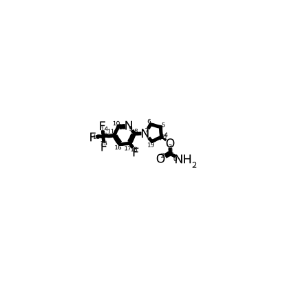 NC(=O)O[C@@H]1CCN(c2ncc(C(F)(F)F)cc2F)C1